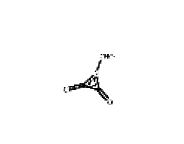 O=[C]n1c(=O)c1=O